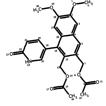 COc1cc2cc(COC(C)=O)c(COC(C)=O)c(-c3ccc(=O)[nH]c3)c2cc1OC